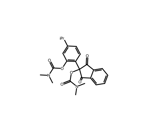 CC(C)c1ccc(C2(OC(=O)N(C)C)C(=O)c3ccccc3C2=O)c(OC(=O)N(C)C)c1